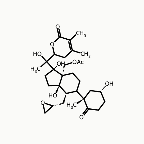 CC(=O)OC[C@]12CCC([C@]3(C)C[C@H](O)CCC3=O)[C@@H](C[C@@H]3CO3)[C@]1(O)CC[C@@]2(O)C(C)(O)C1CC(C)=C(C)C(=O)O1